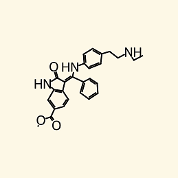 CCNCCc1ccc(N/C(=C2\C(=O)Nc3cc(C(=O)OC)ccc32)c2ccccc2)cc1